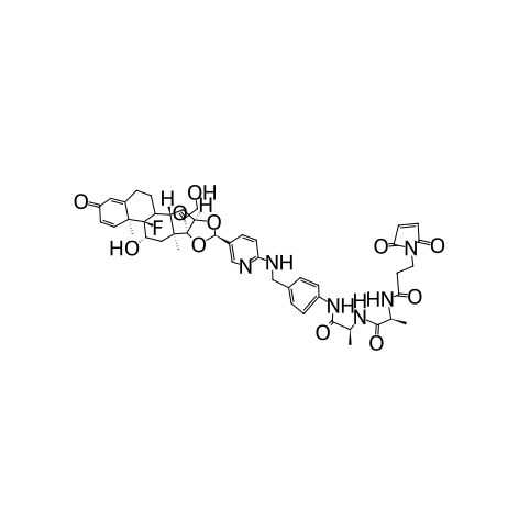 C[C@H](NC(=O)CCN1C(=O)C=CC1=O)C(=O)N[C@@H](C)C(=O)Nc1ccc(CNc2ccc([C@@H]3O[C@@H]4C[C@H]5C6CCC7=CC(=O)C=C[C@]7(C)[C@@]6(F)[C@@H](O)C[C@]5(C)[C@]4(C(=O)CO)O3)cn2)cc1